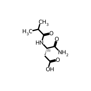 CC(C)C(=O)N[C@@H](CC(=O)O)C(N)=O